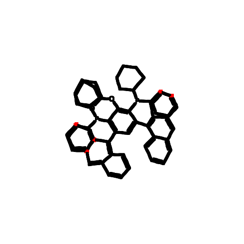 c1ccc2c(-c3cc(-c4c5ccccc5cc5ccccc45)c(P(C4CCCCC4)C4CCCCC4)c(OC4CCCCO4)c3P(C3CCCCC3)C3CCCCC3)c3ccccc3cc2c1